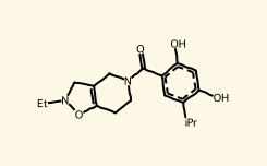 CCN1CC2=C(CCN(C(=O)c3cc(C(C)C)c(O)cc3O)C2)O1